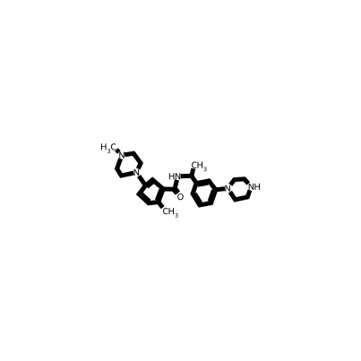 Cc1ccc(N2CCN(C)CC2)cc1C(=O)NC(C)c1cccc(N2CCNCC2)c1